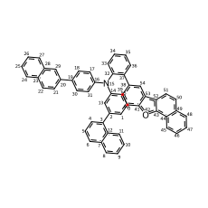 c1cc(-c2cccc3ccccc23)cc(N(c2ccc(-c3ccc4ccccc4c3)cc2)c2ccccc2-c2ccc3oc4c5ccccc5ccc4c3c2)c1